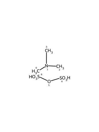 CN(C)C.O=S(=O)(O)OS(=O)(=O)O